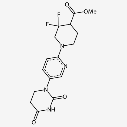 COC(=O)C1CCN(c2ccc(N3CCC(=O)NC3=O)cn2)CC1(F)F